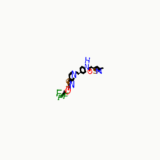 Cc1cc(CC(=O)N[C@H]2CC[C@H](CCN3CCc4sc(OCC(F)(F)F)nc4C3)CC2)sn1